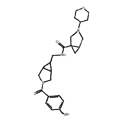 CC(C)(C)c1ccc(C(=O)N2CC3C(CNC(=O)C45[CH]C4CN(C4CCOCC4)C5)C3C2)cc1